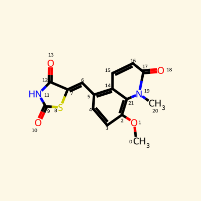 COc1ccc(C=C2SC(=O)NC2=O)c2ccc(=O)n(C)c12